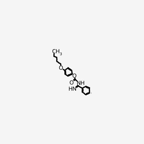 CCCCCOc1ccc(OC(=O)NC(=N)c2cc[c]cc2)cc1